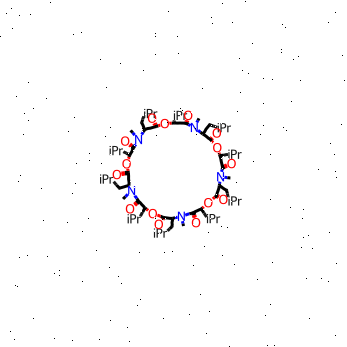 CC(C)CC1C(=O)OC(C(C)C)C(=O)N(C)C(CC(C)C)C(=O)OC(C(C)C)C(=O)N(C)C(CC(C)C)C(=O)OC(C(C)C)C(=O)N(C)C(CC(C)C)C(=O)OC(C(C)C)C(=O)N(C)C(CC(C)C)C(=O)OC(C(C)C)C(=O)N1C